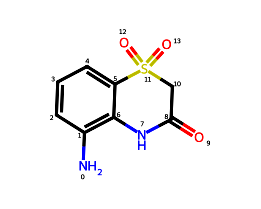 Nc1cccc2c1NC(=O)CS2(=O)=O